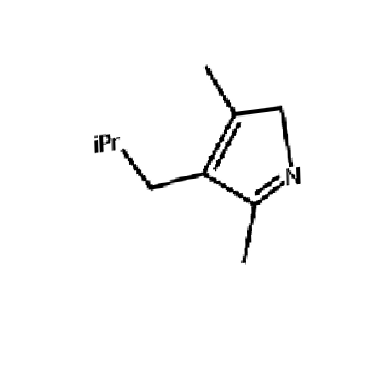 CC1=NCC(C)=C1CC(C)C